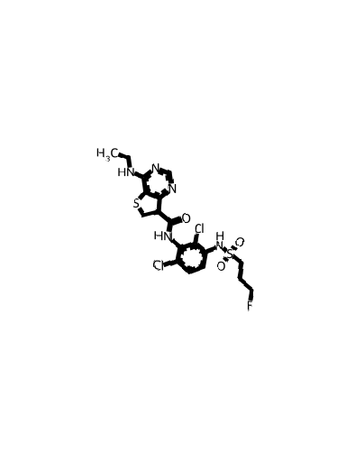 CCNc1ncnc2c1SCC2C(=O)Nc1c(Cl)ccc(NS(=O)(=O)CCCF)c1Cl